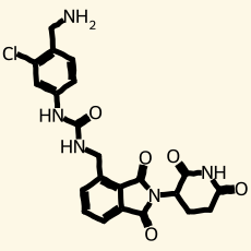 NCc1ccc(NC(=O)NCc2cccc3c2C(=O)N(C2CCC(=O)NC2=O)C3=O)cc1Cl